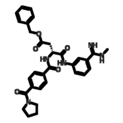 CNC(=N)c1cccc(NC(=O)[C@@H](CC(=O)OCc2ccccc2)NC(=O)c2ccc(C(=O)N3CCCC3)cc2)c1